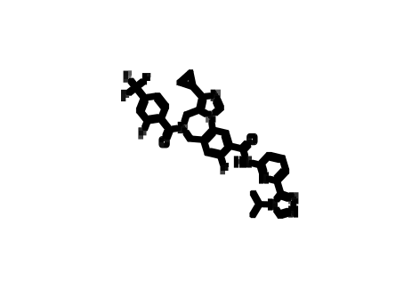 CC(C)n1cnnc1-c1cccc(NC(=O)c2cc3c(cc2F)CN(C(=O)c2ccc(C(F)(F)F)cc2F)Cc2c(C4CC4)ncn2-3)n1